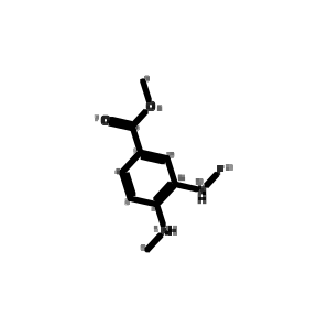 CNc1ccc(C(=O)OC)cc1NF